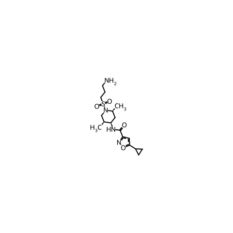 C[C@H]1CN(S(=O)(=O)CCCN)[C@@H](C)C[C@H]1NC(=O)c1cc(C2CC2)on1